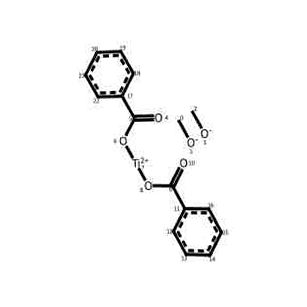 C[O-].C[O-].O=C([O][Ti+2][O]C(=O)c1ccccc1)c1ccccc1